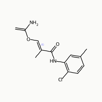 C=C(N)O/C=C(\C)C(=O)Nc1cc(C)ccc1Cl